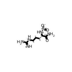 N=C(N)NCCC[C@H](N[N+](=O)[O-])C(N)=O